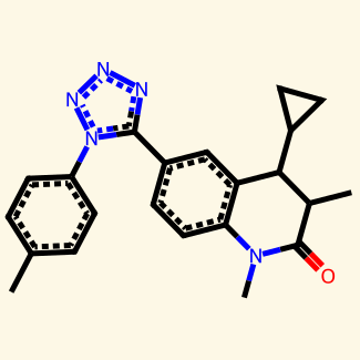 Cc1ccc(-n2nnnc2-c2ccc3c(c2)C(C2CC2)C(C)C(=O)N3C)cc1